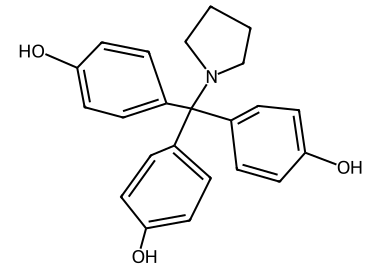 Oc1ccc(C(c2ccc(O)cc2)(c2ccc(O)cc2)N2CCCC2)cc1